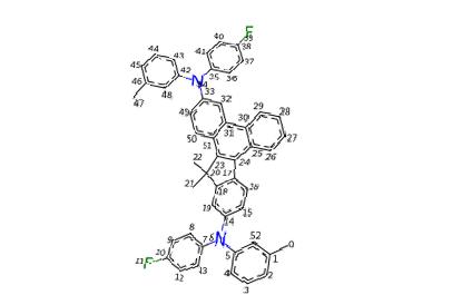 Cc1cccc(N(c2ccc(F)cc2)c2ccc3c(c2)C(C)(C)c2c-3c3ccccc3c3cc(N(c4ccc(F)cc4)c4cccc(C)c4)ccc23)c1